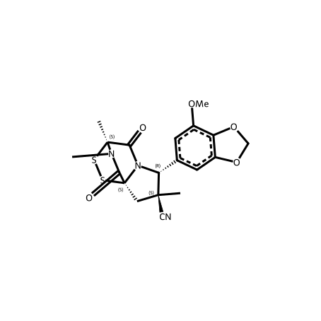 COc1cc([C@H]2N3C(=O)[C@]4(C)SS[C@@]3(C[C@]2(C)C#N)C(=O)N4C)cc2c1OCO2